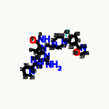 CNC(=O)c1c(C)c2c(nc(N)n3nc(-c4ccccn4)nc23)n1CCN1CCCN(c2cc(-c3ncco3)ccc2F)CC1